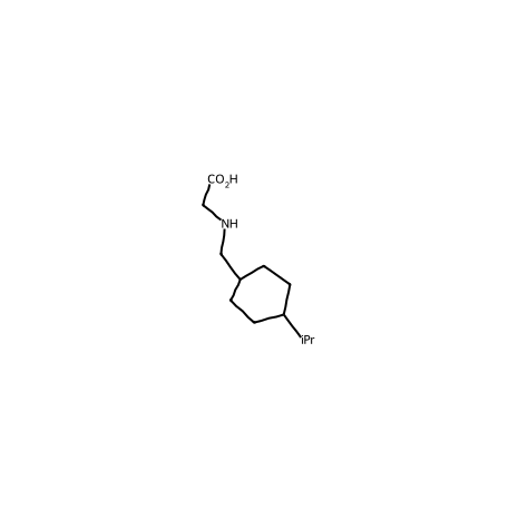 CC(C)C1CCC(CNCC(=O)O)CC1